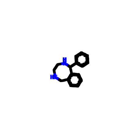 c1ccc(C2NCCNCc3ccccc32)cc1